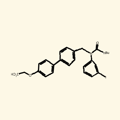 CCCCC(=O)N(Cc1ccc(-c2ccc(OCC(=O)O)cc2)cc1)c1cccc(I)c1